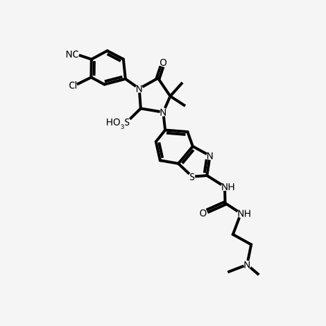 CN(C)CCNC(=O)Nc1nc2cc(N3C(S(=O)(=O)O)N(c4ccc(C#N)c(Cl)c4)C(=O)C3(C)C)ccc2s1